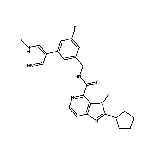 CN/C=C(\C=N)c1cc(F)cc(CNC(=O)c2nccc3nc(C4CCCC4)n(C)c23)c1